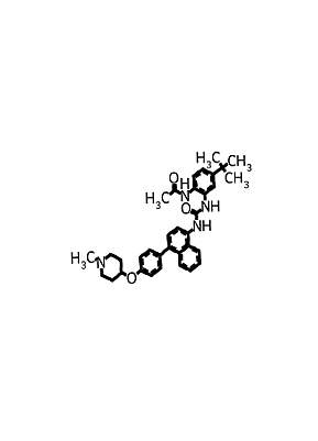 CC(=O)Nc1ccc(C(C)(C)C)cc1NC(=O)Nc1ccc(-c2ccc(OC3CCN(C)CC3)cc2)c2ccccc12